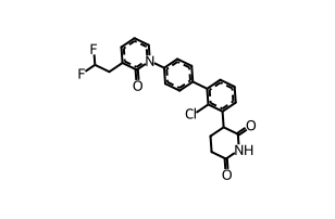 O=C1CCC(c2cccc(-c3ccc(-n4cccc(CC(F)F)c4=O)cc3)c2Cl)C(=O)N1